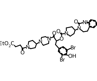 CCOC(=O)CCC(=O)N1CCC(N2CCN(C(=O)C(Cc3cc(Br)c(O)c(Br)c3)OC(=O)N3CCC(N4CCc5ccccc5NC4=O)CC3)CC2)CC1